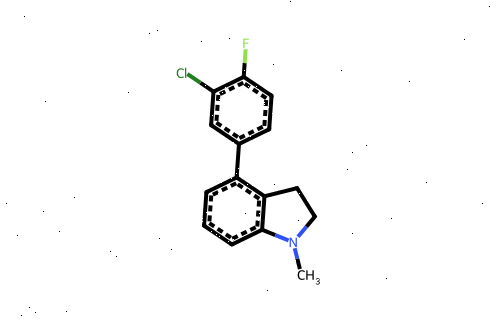 CN1CCc2c(-c3ccc(F)c(Cl)c3)cccc21